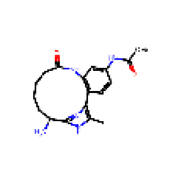 COC(=O)Nc1ccc2c(c1)NC(=O)CCCC[C@H](N)c1nc-2c(C)[nH]1